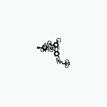 C#Cc1ccc(NC(=O)c2cc(Cl)ccc2N(C=O)c2ccc(C=NN(C)CCC3OCCO3)cc2F)nc1